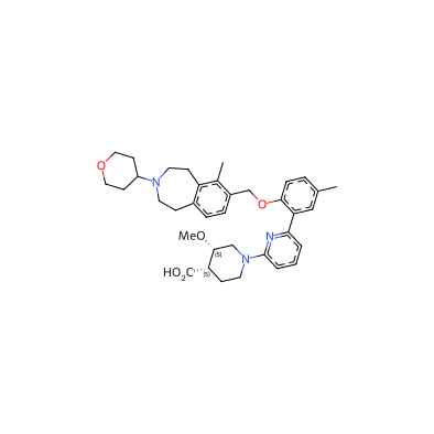 CO[C@@H]1CN(c2cccc(-c3cc(C)ccc3OCc3ccc4c(c3C)CCN(C3CCOCC3)CC4)n2)CC[C@@H]1C(=O)O